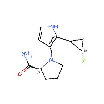 NC(=O)[C@@H]1CCCN1c1cc[nH]c1C1C[C@@H]1F